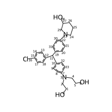 OCCN(CCO)c1ccc(C(c2ccc(Cl)cc2)c2ccc(N3CCCC(O)C3)cc2)cc1